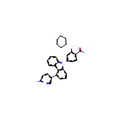 NC(=O)c1ccc(-n2c3ccccc3c3c(-c4ccc(N)nc4)cccc32)cc1N[C@H]1CC[C@H](O)CC1